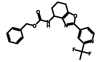 CC(F)(F)c1cc(-c2nc3c(o2)CCCC3NC(=O)OCc2ccccc2)ccn1